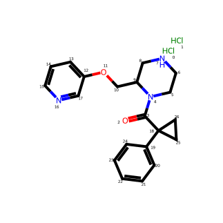 Cl.Cl.O=C(N1CCNCC1COc1cccnc1)C1(c2ccccc2)CC1